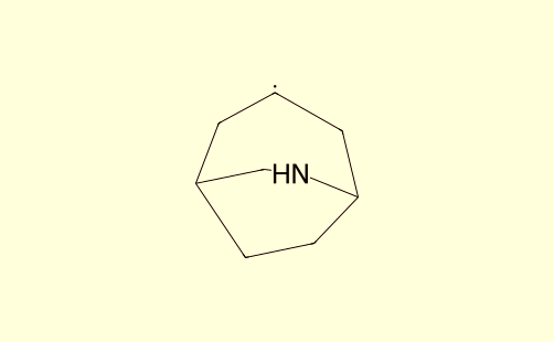 [CH]1CC2CCC(C1)NC2